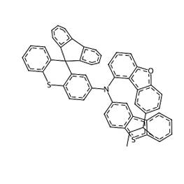 CCC(C)c1ccc2oc3cccc(N(c4ccc5c(c4)C4(c6ccccc6S5)c5ccccc5-c5ccccc54)c4ccc5sc6ccccc6c5c4)c3c2c1